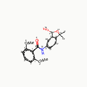 COc1cccc(OC)c1C(=O)Nc1ccc2c(c1)B(O)OC2(C)C